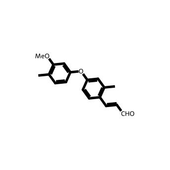 COc1cc(Oc2ccc(/C=C/C=O)c(C)c2)ccc1C